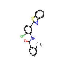 Cc1ccccc1C(=O)Nc1cc(-c2nc3ccccc3s2)ccc1Cl